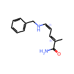 C/C(=C\C=C/NCc1ccccc1)C(N)=O